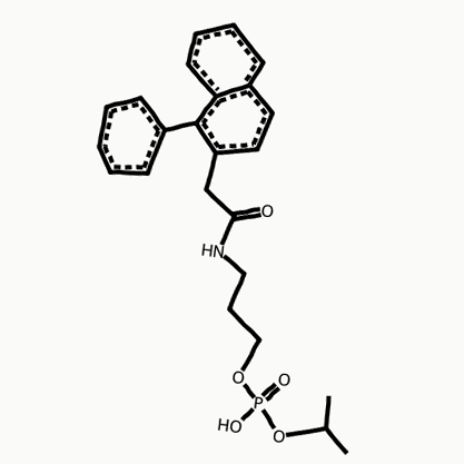 CC(C)OP(=O)(O)OCCCNC(=O)Cc1ccc2ccccc2c1-c1ccccc1